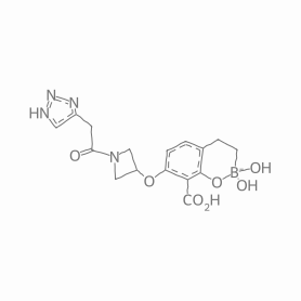 O=C(O)c1c(OC2CN(C(=O)Cc3c[nH]nn3)C2)ccc2c1O[B-](O)(O)CC2